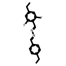 CCc1ccc(C=NN=Cc2c(F)cc(CC)cc2F)cc1